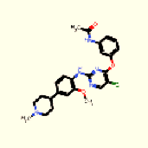 COc1cc(C2CCN(C)CC2)ccc1Nc1ncc(Cl)c(Oc2cccc(NC(C)=O)c2)n1